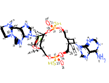 Nc1ncnc2c1ncn2[C@@H]1CC2COP(=O)(S)O[C@@H]3[C@H](F)[C@@H](COP(=O)(S)OC[C@H]21)O[C@H]3n1cnc2c1ncn1ccnc21